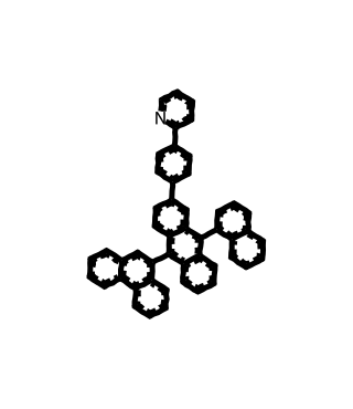 c1ccc(-c2ccc(-c3ccc4c(-c5cc6ccccc6c6ccccc56)c5ccccc5c(-c5cccc6ccccc56)c4c3)cc2)nc1